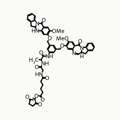 COc1cc2c(cc1OCc1cc(COc3cc4c(cc3OC)C(=O)N3c5ccccc5CC3N4)cc(NC(=O)C(C)NC(=O)CNC(=O)CCCCC(=O)ON3C(=O)CCC3=O)c1)N=C[C@@H]1Cc3ccccc3N1C2=O